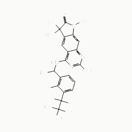 Cc1nc(NC(C)c2cccc(C(F)(F)C(C)(C)O)c2F)c2cc3c(cc2n1)N(C)C(=O)C3(C)C